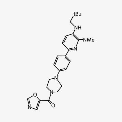 CNc1nc(-c2ccc(N3CCN(C(=O)c4cnco4)CC3)cc2)ccc1NCC(C)(C)C